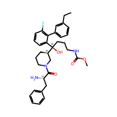 CCc1cccc(-c2c(F)cccc2[C@](O)(CCCNC(=O)OC)[C@@H]2CCCN(C(=O)[C@@H](N)Cc3ccccc3)C2)c1